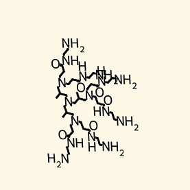 CC(CN(CCC(=O)NCCN)CCC(=O)NCCN)CN(CC(C)CN(CCC(=O)NCCN)CCC(=O)NCCN)CC(C)CN(CCC(=O)NCCN)CCC(=O)NCCN